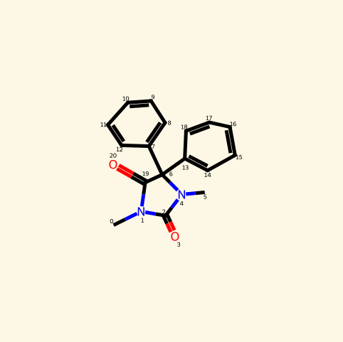 CN1C(=O)N(C)C(c2ccccc2)(c2ccccc2)C1=O